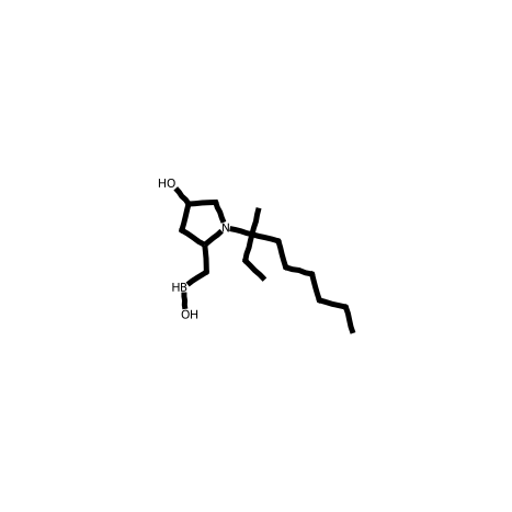 CCCCCCC(C)(CC)N1CC(O)CC1CBO